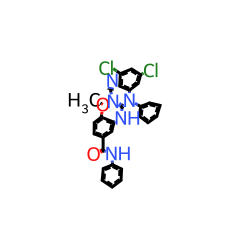 COc1ccc(C(=O)Nc2ccccc2)cc1N/C(=N/C#N)N(c1ccccc1)c1cc(Cl)cc(Cl)c1